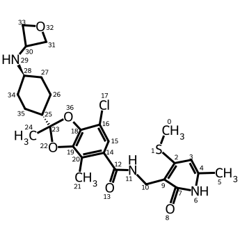 CSc1cc(C)[nH]c(=O)c1CNC(=O)c1cc(Cl)c2c(c1C)OC(C)([C@H]1CC[C@H](NC3COC3)CC1)O2